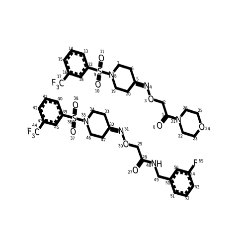 O=C(CON=C1CCN(S(=O)(=O)c2cccc(C(F)(F)F)c2)CC1)N1CCOCC1.O=C(CON=C1CCN(S(=O)(=O)c2cccc(C(F)(F)F)c2)CC1)NCc1cccc(F)c1